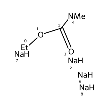 CCOC(=O)NC.[NaH].[NaH].[NaH].[NaH]